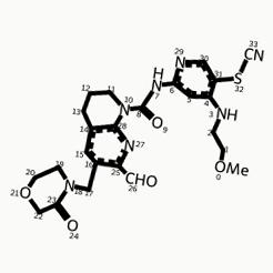 COCCNc1cc(NC(=O)N2CCCc3cc(CN4CCOCC4=O)c(C=O)nc32)ncc1SC#N